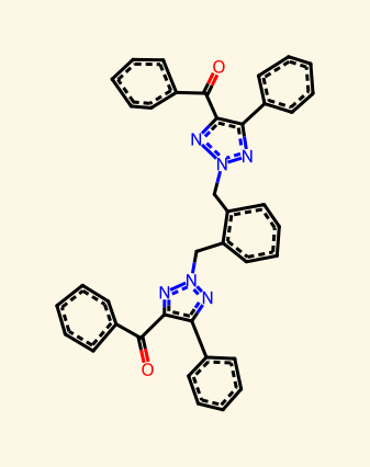 O=C(c1ccccc1)c1nn(Cc2ccccc2Cn2nc(C(=O)c3ccccc3)c(-c3ccccc3)n2)nc1-c1ccccc1